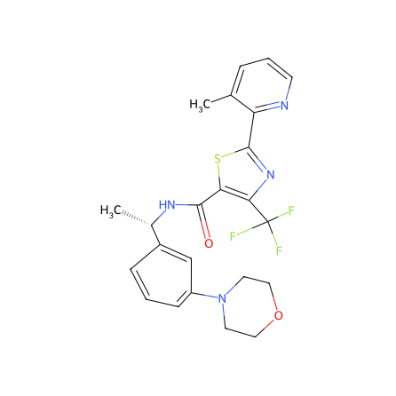 Cc1cccnc1-c1nc(C(F)(F)F)c(C(=O)N[C@@H](C)c2cccc(N3CCOCC3)c2)s1